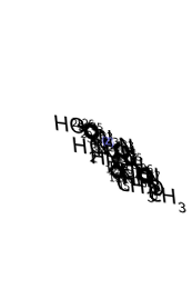 COc1ccc(-c2cc3c(N[C@@H]4CC[C@](C)(N)C4(C)C)c(/C(N)=N/c4ccc(O)cc4Cl)cnn3c2)cn1